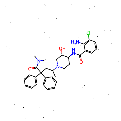 CC(CC(C(=O)N(C)C)(c1ccccc1)c1ccccc1)N1CC[C@H](NC(=O)c2cccc(Cl)c2N)[C@@H](O)C1